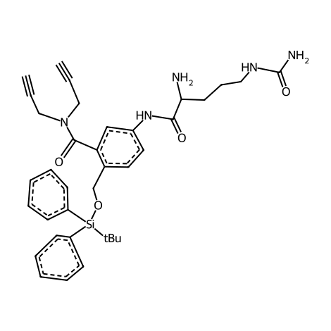 C#CCN(CC#C)C(=O)c1cc(NC(=O)C(N)CCCNC(N)=O)ccc1CO[Si](c1ccccc1)(c1ccccc1)C(C)(C)C